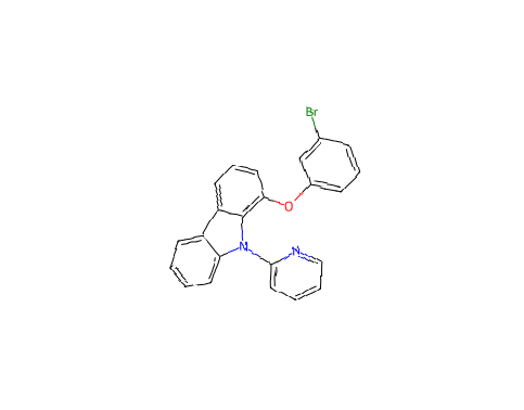 Brc1cccc(Oc2cccc3c4ccccc4n(-c4ccccn4)c23)c1